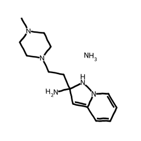 CN1CCN(CCC2(N)C=C3C=CC=CN3N2)CC1.N